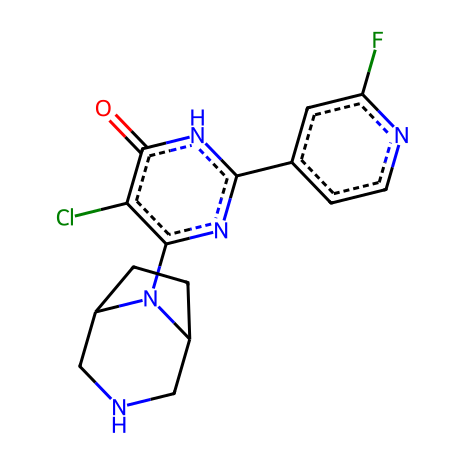 O=c1[nH]c(-c2ccnc(F)c2)nc(N2C3CCC2CNC3)c1Cl